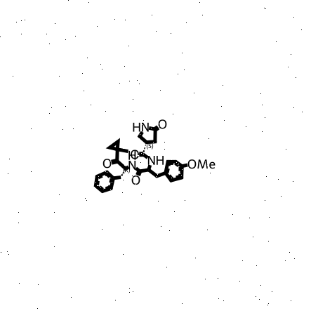 COc1ccc(CC(NC(=O)[C@@H]2CNC(=O)C2)C(=O)N[C@H](Cc2ccccc2)C(=O)C2(C)CC2)cc1